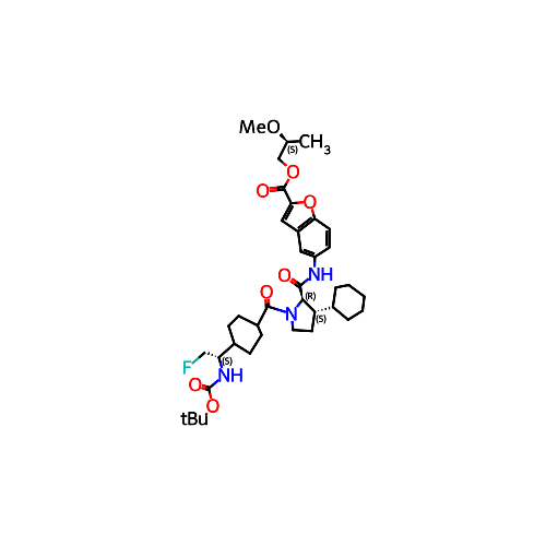 CO[C@@H](C)COC(=O)c1cc2cc(NC(=O)[C@H]3[C@H](C4CCCCC4)CCN3C(=O)C3CCC([C@@H](CF)NC(=O)OC(C)(C)C)CC3)ccc2o1